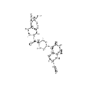 N#Cc1ccc2c(C3CCN(C(=O)c4ccc(OC(F)(F)F)cc4)CC3)ncnc2c1